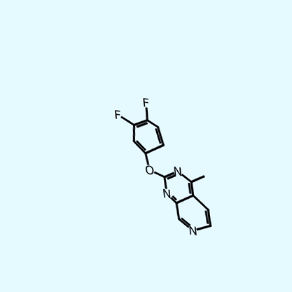 Cc1nc(Oc2ccc(F)c(F)c2)nc2cnccc12